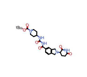 CC(C)(C)OC(=O)N1CCC(NC(=O)NC(=O)c2ccc3c(c2)CN(C2CCC(=O)NC2=O)C3)CC1